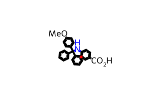 COc1ccc(C(Nc2ccc(C(=O)O)cc2)(c2ccccc2)c2ccccc2)cc1